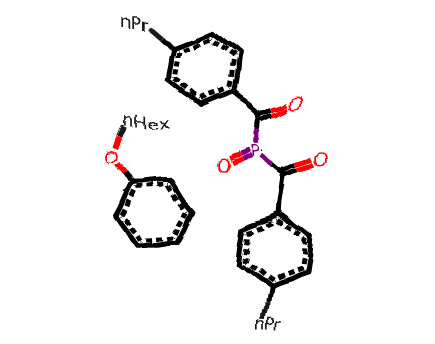 CCCCCCOc1ccccc1.CCCc1ccc(C(=O)[P](=O)C(=O)c2ccc(CCC)cc2)cc1